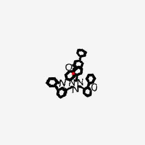 c1ccc(-c2ccc3c(c2)oc2cc(-n4c5ccccc5c5cccc(-c6nc(-c7ccccc7)nc(-c7cccc8oc9ccccc9c78)n6)c54)ccc23)cc1